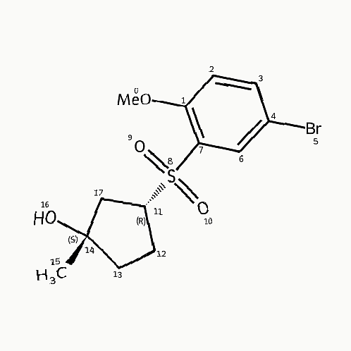 COc1ccc(Br)cc1S(=O)(=O)[C@@H]1CC[C@](C)(O)C1